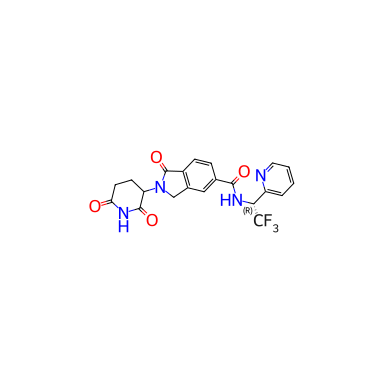 O=C1CCC(N2Cc3cc(C(=O)N[C@H](c4ccccn4)C(F)(F)F)ccc3C2=O)C(=O)N1